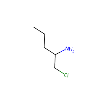 CCCC(N)CCl